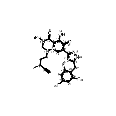 C#C[C@@H](C)CCN1CN(C(C)C)C(=O)c2c(O)c(=O)c(-c3nnc(Cc4c(F)cc(F)cc4F)s3)cn21